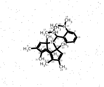 CC1=C[C](C)([Ti]([CH](c2ccccc2N(C)C)[SiH](C)C)[C]2(C)C=C(C)C(C)=C2C)C(C)=C1C